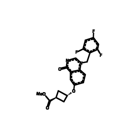 COC(=O)[C@H]1C[C@H](Oc2ccc3c(c2)c(=O)ncn3Cc2c(F)cc(F)cc2F)C1